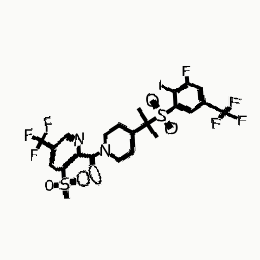 CC(C)(C1CCN(C(=O)c2ncc(C(F)(F)F)cc2S(C)(=O)=O)CC1)S(=O)(=O)c1cc(C(F)(F)F)cc(F)c1I